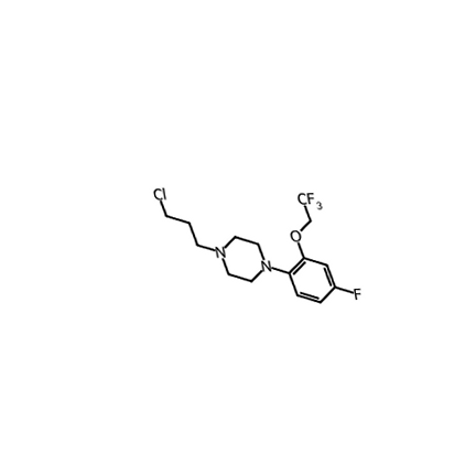 Fc1ccc(N2CCN(CCCCl)CC2)c(OCC(F)(F)F)c1